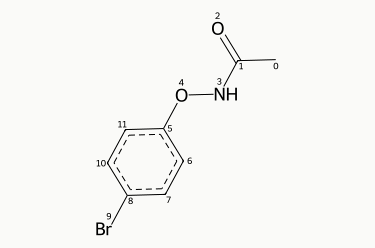 CC(=O)NOc1ccc(Br)cc1